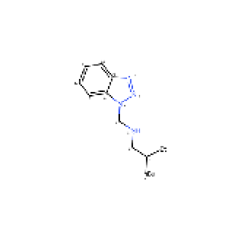 CCCCC(CC)CNCn1nnc2ccccc21